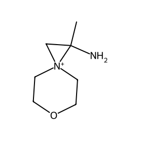 CC1(N)C[N+]12CCOCC2